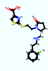 O=C(O)c1csc(SCCN2C(=O)CC[C@@H]2CNCCc2ccccc2F)n1